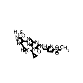 CCS(=O)(=O)c1ccc(CNc2nc3cnc(-c4c(OC)ncnc4C4CC4)nc3n(C(C)C3CC3)c2=O)cn1